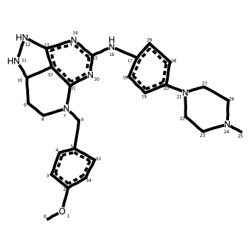 COc1ccc(CN2CCC3NNc4nc(Nc5ccc(N6CCN(C)CC6)cc5)nc2c43)cc1